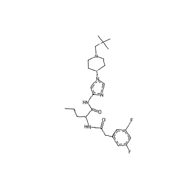 CCCC(NC(=O)Cc1cc(F)cc(F)c1)C(=O)Nc1cn(C2CCN(CC(C)(C)C)CC2)cn1